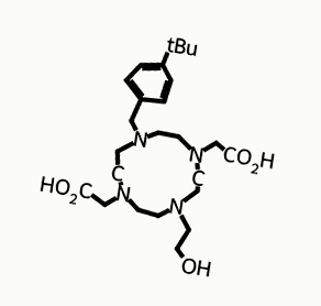 CC(C)(C)c1ccc(CN2CCN(CC(=O)O)CCN(CCO)CCN(CC(=O)O)CC2)cc1